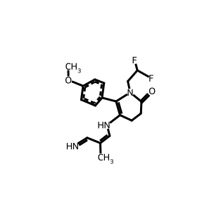 COc1ccc(C2=C(N/C=C(/C)C=N)CCC(=O)N2CC(F)F)cc1